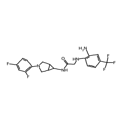 Nc1cc(C(F)(F)F)ccc1NCC(=O)NC1C2CN(c3ccc(F)cc3F)CC21